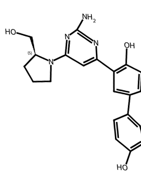 Nc1nc(-c2cc(-c3ccc(O)cc3)ccc2O)cc(N2CCC[C@H]2CO)n1